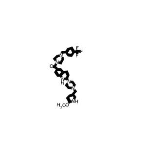 COC1=CC=C(CN2CCN(C3C=Cc4cc(C(=O)N5CCN(Cc6ccc(C(F)(F)F)cc6)CC5)ccc4N3)CC2)CN1